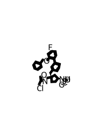 CS(=O)(=O)N[C@H]1CC[C@](Cc2cccc(-c3ccc(F)cc3OCc3ccccc3)c2)(c2nc(CCl)co2)C1